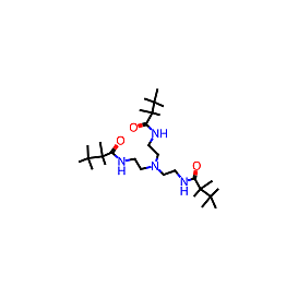 CC(C)(C)C(C)(C)C(=O)NCCN(CCNC(=O)C(C)(C)C(C)(C)C)CCNC(=O)C(C)(C)C(C)(C)C